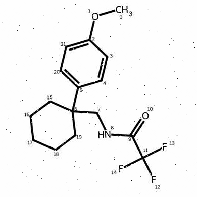 COc1ccc(C2(CNC(=O)C(F)(F)F)CCCCC2)cc1